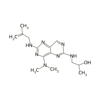 C=C(C)CNc1nc(N(C)C)c2nc(NCC(C)O)ncc2n1